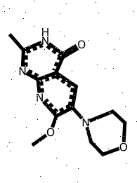 COc1nc2nc(C)[nH]c(=O)c2cc1N1CCOCC1